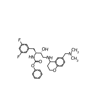 CN(C)Cc1ccc2c(c1)C(NC[C@@H](O)[C@H](Cc1cc(F)cc(F)c1)NC(=O)Oc1ccccc1)CCO2